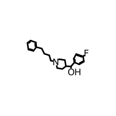 OC(c1ccc(F)cc1)C1CCN(CCCCc2ccccc2)CC1